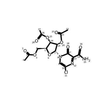 CC(=O)OC[C@@H]1O[C@@H](n2cc(Cl)nc(C(N)=O)c2=O)[C@H](OC(C)=O)[C@@H]1OC(C)=O